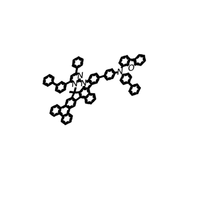 CC1(C)c2cc3c4ccccc4c4ccccc4c3cc2-c2c1c1c(c3ccccc23)c2cc(-c3ccc(N(c4ccc(-c5ccccc5)cc4)c4cccc5c4oc4ccccc45)cc3)ccc2n1-c1nc(-c2ccccc2)cc(-c2cccc(-c3ccccc3)c2)n1